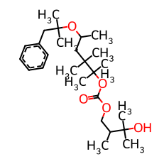 CC(CC(C)(C)C(C)(C)OC(=O)OCC(C)C(C)(C)O)OC(C)(C)Cc1ccccc1